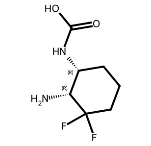 N[C@@H]1[C@H](NC(=O)O)CCCC1(F)F